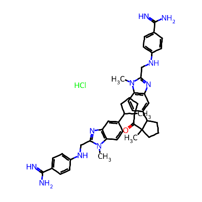 Cl.Cn1c(CNc2ccc(C(=N)N)cc2)nc2cc(C3CCCC3(C)C(=O)C3(C)CCCC3c3ccc4c(c3)nc(CNc3ccc(C(=N)N)cc3)n4C)ccc21